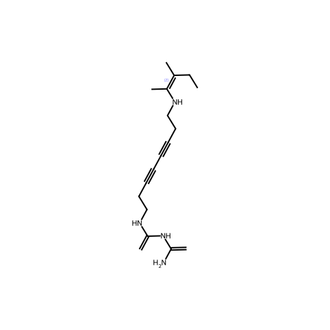 C=C(N)NC(=C)NCCC#CC#CCCN/C(C)=C(/C)CC